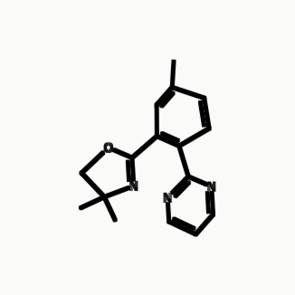 Cc1ccc(-c2ncccn2)c(C2=NC(C)(C)CO2)c1